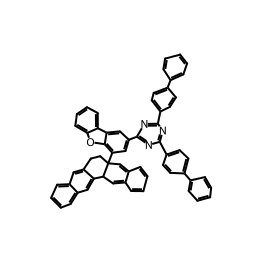 C1=c2ccccc2=CC2(c3cc(-c4nc(-c5ccc(-c6ccccc6)cc5)nc(-c5ccc(-c6ccccc6)cc5)n4)cc4c3oc3ccccc34)CCc3cc4ccccc4cc3C12